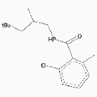 Cc1cccc(Cl)c1C(=O)PCC(C)CC(C)(C)C